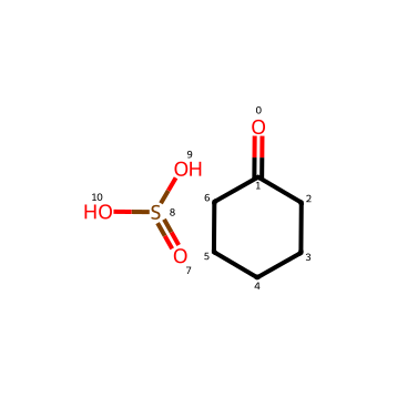 O=C1CCCCC1.O=S(O)O